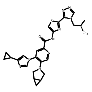 C[C@H](Cn1cnnc1-c1nc(NC(=O)c2cc(-n3cnc(C4CC4)c3)c(N3CC4CC4C3)cn2)cs1)C(F)(F)F